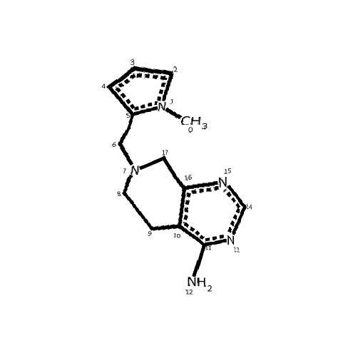 Cn1cccc1CN1CCc2c(N)ncnc2C1